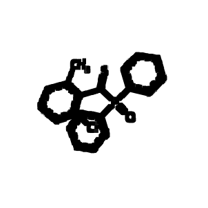 Cc1cccc(C)c1C(=S)P(=O)(c1ccccc1)c1ccccc1